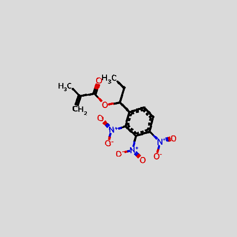 C=C(C)C(=O)OC(CC)c1ccc([N+](=O)[O-])c([N+](=O)[O-])c1[N+](=O)[O-]